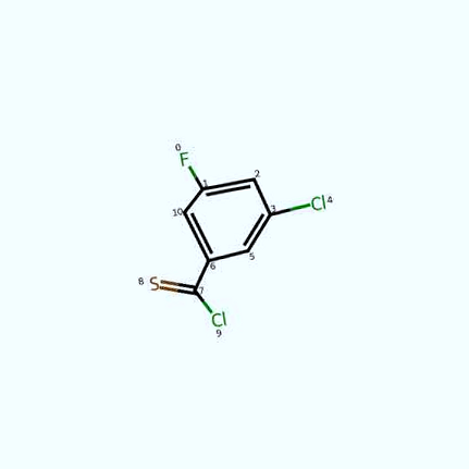 Fc1cc(Cl)cc(C(=S)Cl)c1